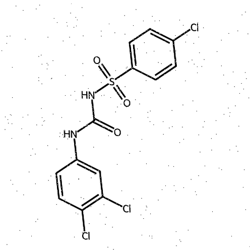 O=C(Nc1ccc(Cl)c(Cl)c1)NS(=O)(=O)c1ccc(Cl)cc1